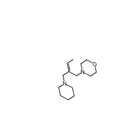 CC=C(CN1CCCCC1)CN1CCOCC1